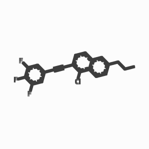 CCCc1ccc2c(Cl)c(C#Cc3cc(F)c(F)c(F)c3)ccc2c1